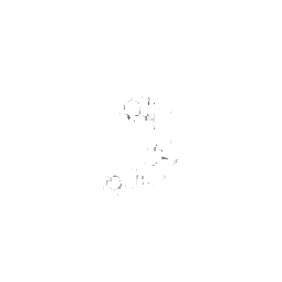 CCOC1Nc2cccnc2N1C1CCN(C(=O)C2CCN(Cc3ccsc3)CC2)CC1